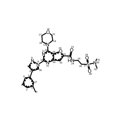 Cc1cccc(-c2cnn(-c3nc(N4CCOCC4)c4oc(C(=O)NCCS(=O)(=O)N(C)C)cc4n3)c2)c1